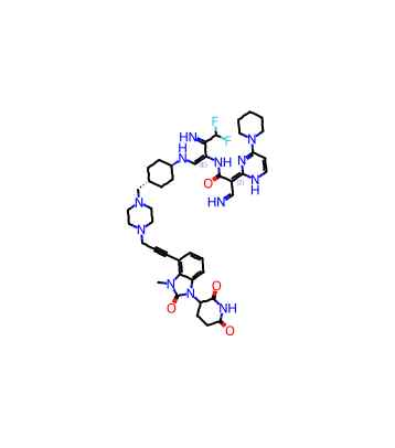 Cn1c(=O)n(C2CCC(=O)NC2=O)c2cccc(C#CCN3CCN(C[C@H]4CC[C@H](N/C=C(/NC(=O)/C(C=N)=C5\N=C(N6CCCCC6)C=CN5)C(=N)C(F)F)CC4)CC3)c21